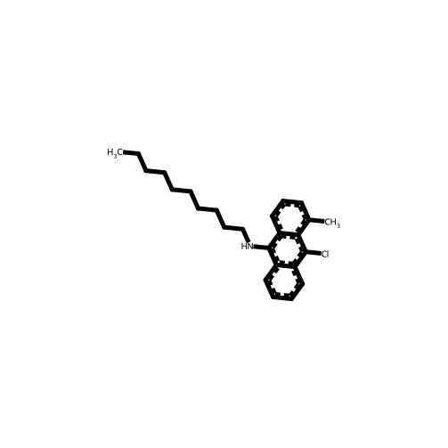 CCCCCCCCCCNc1c2ccccc2c(Cl)c2c(C)cccc12